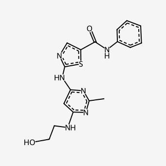 Cc1nc(NCCO)cc(Nc2ncc(C(=O)Nc3ccccc3)s2)n1